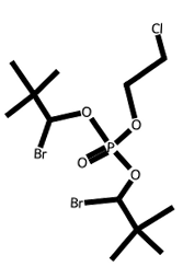 CC(C)(C)C(Br)OP(=O)(OCCCl)OC(Br)C(C)(C)C